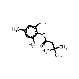 Cc1cc(C)c(OC(=O)CC(C)(C)C)c(C)c1